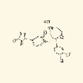 Cl.O=c1[nH]c(-c2ccn(C[C@@H]3CNCCO[C@H]3c3ccc(Cl)c(Cl)c3)c(=O)c2)no1